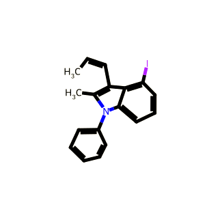 C/C=C\c1c(C)n(-c2ccccc2)c2cccc(I)c12